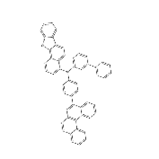 c1ccc(-c2cccc(N(c3ccc(-c4cc5ccc6ccccc6c5c5ccccc45)cc3)c3cccc4c3ccc3c5ccccc5oc43)c2)cc1